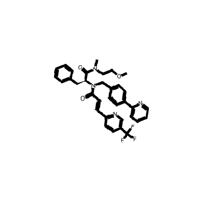 COCCN(C)C(=O)[C@H](Cc1ccccc1)N(Cc1ccc(-c2ccccn2)cc1)C(=O)C=Cc1ccc(C(F)(F)F)cn1